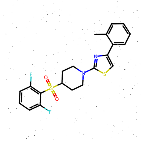 Cc1ccccc1-c1csc(N2CCC(S(=O)(=O)c3c(F)cccc3F)CC2)n1